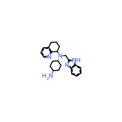 N[C@H]1CC[C@H](N(Cc2nc3ccccc3[nH]2)C2CCCc3cccnc32)CC1